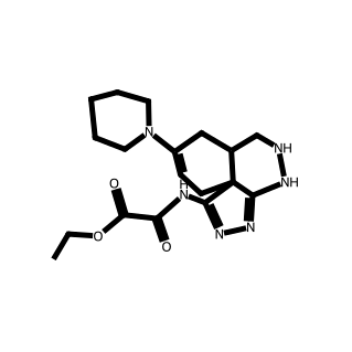 CCOC(=O)C(=O)NC1=NN=C2NNCC3CC(N4CCCCC4)=CCC213